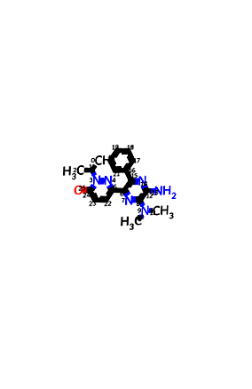 CC(C)n1nc(-c2nc(N(C)C)c(N)nc2-c2ccccc2)ccc1=O